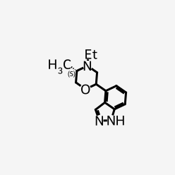 CCN1CC(c2cccc3[nH]ncc23)OC[C@@H]1C